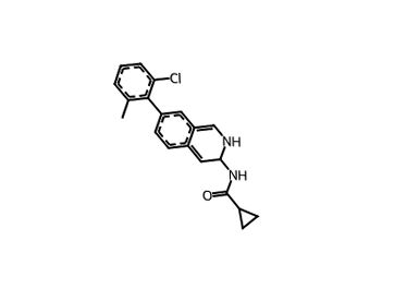 Cc1cccc(Cl)c1-c1ccc2c(c1)=CNC(NC(=O)C1CC1)C=2